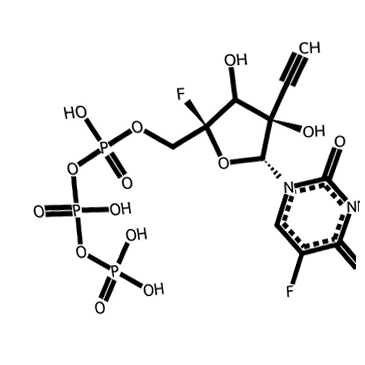 C#C[C@@]1(O)C(O)[C@@](F)(COP(=O)(O)OP(=O)(O)OP(=O)(O)O)O[C@H]1n1cc(F)c(=S)[nH]c1=O